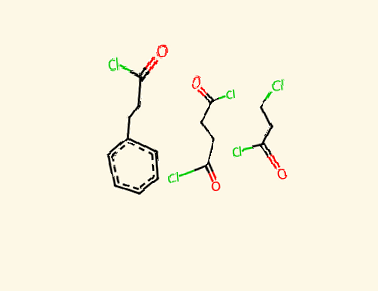 O=C(Cl)CCC(=O)Cl.O=C(Cl)CCCl.O=C(Cl)CCc1ccccc1